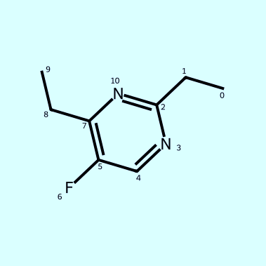 CCc1ncc(F)c(CC)n1